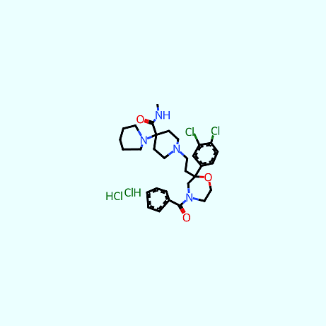 CNC(=O)C1(N2CCCCC2)CCN(CCC2(c3ccc(Cl)c(Cl)c3)CN(C(=O)c3ccccc3)CCO2)CC1.Cl.Cl